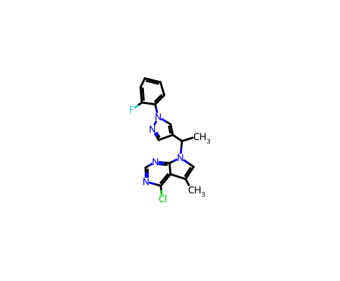 Cc1cn(C(C)c2cnn(-c3ccccc3F)c2)c2ncnc(Cl)c12